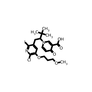 COCCCOc1cc(CC(n2ccc(=O)c(C(=O)O)c2)C(C)(C)C)c(I)nc1Cl